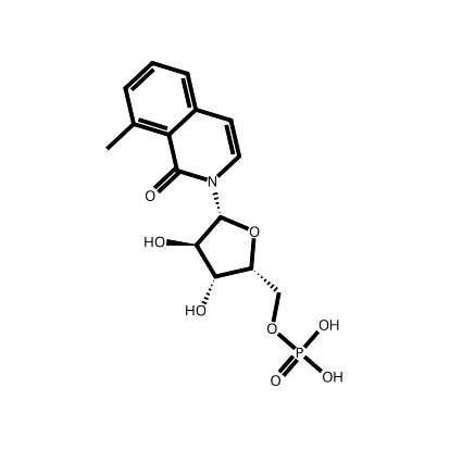 Cc1cccc2ccn([C@@H]3O[C@H](COP(=O)(O)O)[C@H](O)[C@H]3O)c(=O)c12